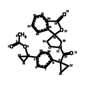 CC(=O)OC1(c2ccc(C3(C(=O)N4CCC5(C4)OC(=O)c4ccccc45)CC3)cc2)CC1